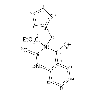 CCOC(=O)[N+]1(Cc2cccs2)C(=O)N=c2ccccc2=C1O